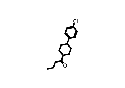 CCCC(=O)C1CCC(c2ccc(Cl)cc2)CC1